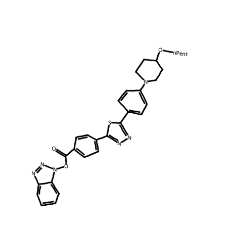 CCCCCOC1CCN(c2ccc(-c3nnc(-c4ccc(C(=O)On5nnc6ccccc65)cc4)s3)cc2)CC1